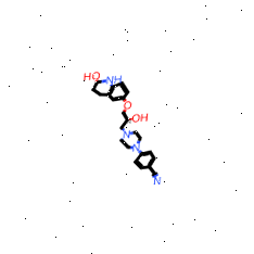 N#Cc1ccc(N2CCN(C[C@H](O)COc3ccc4c(c3)CCC(O)N4)CC2)cc1